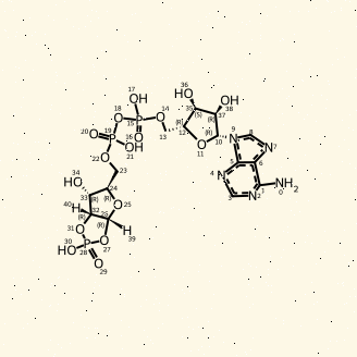 Nc1ncnc2c1ncn2[C@@H]1O[C@H](COP(=O)(O)OP(=O)(O)OC[C@H]2O[C@@H]3OP(=O)(O)O[C@@H]3[C@@H]2O)[C@@H](O)[C@H]1O